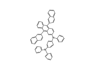 c1ccc(N(c2ccccc2)c2ccc(N(c3ccccc3)c3ccc4c(-c5ccc6ccccc6c5)c5ccccc5c(-c5ccc6ccccc6c5)c4c3)cc2)cc1